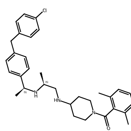 Cc1cccc(C)c1C(=O)N1CCC(NC[C@H](C)N[C@@H](C)c2ccc(Cc3ccc(Cl)cc3)cc2)CC1